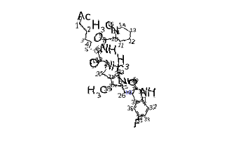 CC(=O)CCCCC[C@H](NC(=O)C1CCCCN1C)C(=O)NCc1c(C)[nH]c(/C=C2\C(=O)Nc3ccc(F)cc32)c1C